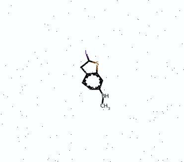 CBc1ccc2c(c1)SC(I)C2